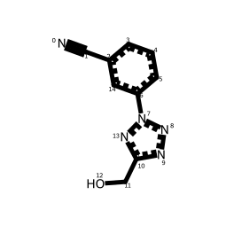 N#Cc1cccc(-n2nnc(CO)n2)c1